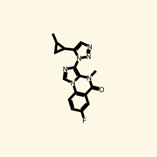 CC1CC1c1cnnn1-c1ncn2c3ccc(F)cc3c(=O)n(C)c12